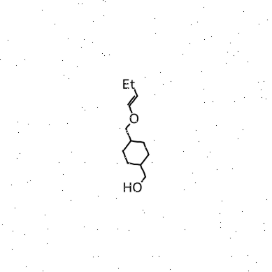 CCC=COCC1CCC(CO)CC1